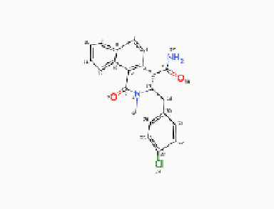 CN(C(=O)c1cccc2ccccc12)[C@H](CC(N)=O)Cc1ccc(Cl)cc1